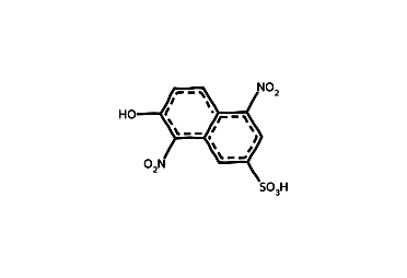 O=[N+]([O-])c1cc(S(=O)(=O)O)cc2c([N+](=O)[O-])c(O)ccc12